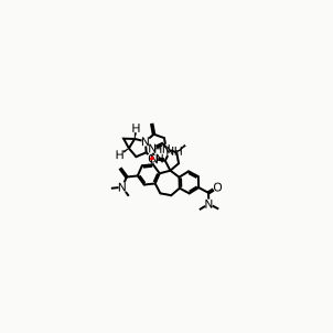 C=C(c1ccc2c(c1)CCc1cc(C(=O)N(C)C)ccc1C2(C[C@H](C)NCC(=C)N1C(C#N)C[C@@H]2C[C@@H]21)c1nnc[nH]1)N(C)C